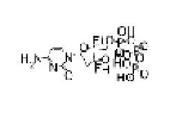 CC[C@]1(COP(=O)(O)OP(=O)(O)OP(=O)(O)O)O[C@@H](n2ccc(N)nc2=O)C[C@@]1(O)F